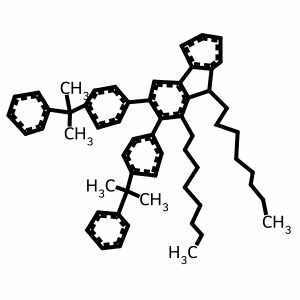 CCCCCCCCc1c(-c2ccc(C(C)(C)c3ccccc3)cc2)c(-c2ccc(C(C)(C)c3ccccc3)cc2)cc2c1C(CCCCCCCC)c1ccccc1-2